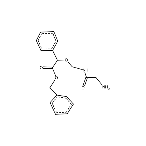 NCC(=O)NCOC(C(=O)OCc1ccccc1)c1ccccc1